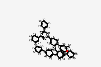 Fc1cc(F)cc(-c2ccc(-c3nc(-c4ccccc4)nc(-c4ccccc4)n3)cc2-n2c3cc(-c4ccccc4)ccc3c3ccc(-c4ccccc4)cc32)c1